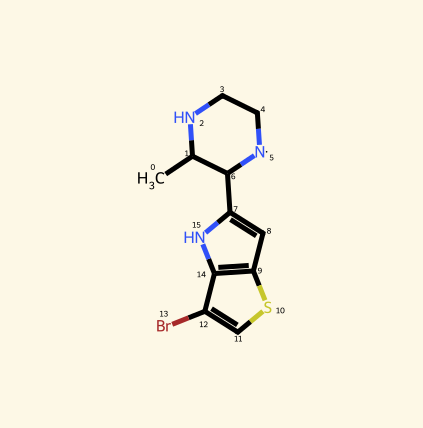 CC1NCC[N]C1c1cc2scc(Br)c2[nH]1